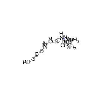 C=C(/N=C(\N)NC1CCN(Cc2cncc(-c3cn(CCOCCOCCOCCO)nn3)c2)CC1)c1nc(Cl)c(N)nc1N